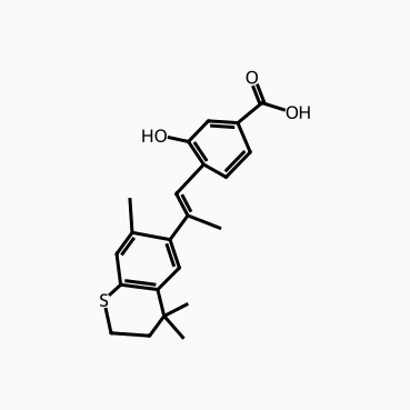 CC(=Cc1ccc(C(=O)O)cc1O)c1cc2c(cc1C)SCCC2(C)C